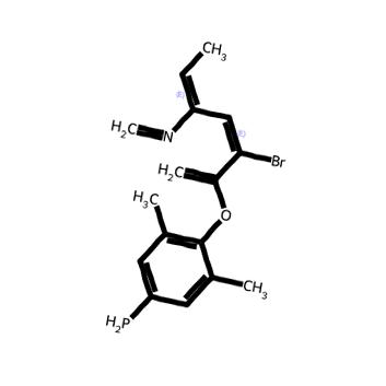 C=NC(=C/C)/C=C(/Br)C(=C)Oc1c(C)cc(P)cc1C